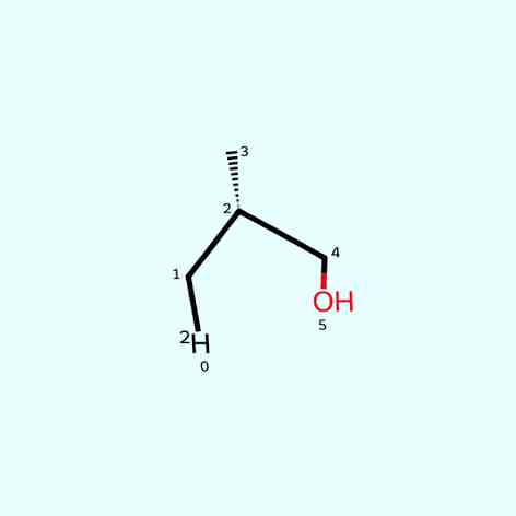 [2H]C[C@H](C)CO